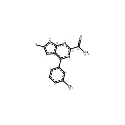 Cc1cc2c(-c3cccc(C(F)(F)F)c3)nc(C(N)=O)nc2s1